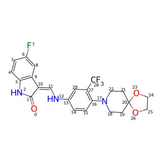 O=C1Nc2ccc(F)cc2C1=CNc1ccc(N2CCC3(CC2)OCCO3)c(C(F)(F)F)c1